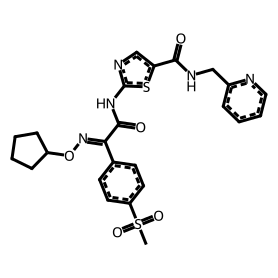 CS(=O)(=O)c1ccc(/C(=N\OC2CCCC2)C(=O)Nc2ncc(C(=O)NCc3ccccn3)s2)cc1